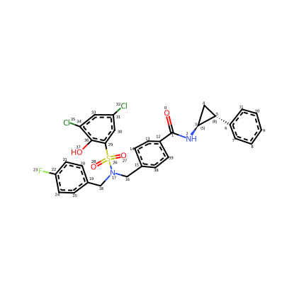 O=C(N[C@H]1C[C@@H]1c1ccccc1)c1ccc(CN(Cc2ccc(F)cc2)S(=O)(=O)c2cc(Cl)cc(Cl)c2O)cc1